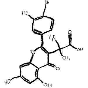 CC(C)(C(=O)O)c1c(-c2ccc(O)c(O)c2)oc2cc(O)cc(O)c2c1=O